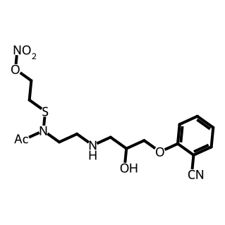 CC(=O)N(CCNCC(O)COc1ccccc1C#N)SCCO[N+](=O)[O-]